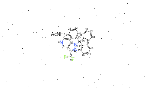 CC(=O)Nc1cc2c(cn1)c(C(F)F)nn2C(c1ccccc1)(c1ccccc1)c1ccccc1